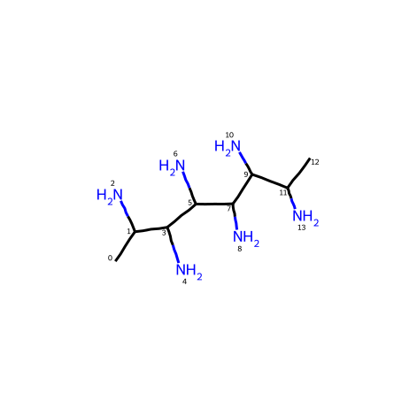 CC(N)C(N)C(N)C(N)C(N)C(C)N